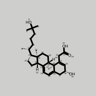 C[C@H](CCCC(C)(C)O)[C@H]1CC[C@H]2C3=CC=C4C[C@@H](O)C=C(CC(=O)O)[C@]4(C)[C@H]3CC[C@]12C